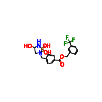 O=C(OCc1cccc(C(F)(F)F)c1)c1ccc(CN2CC(O)NS2(O)O)cc1